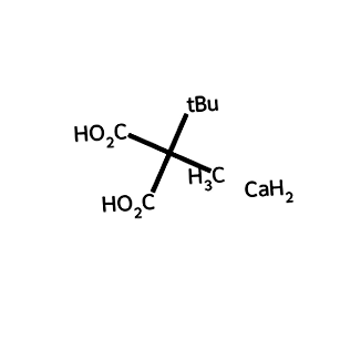 CC(C)(C)C(C)(C(=O)O)C(=O)O.[CaH2]